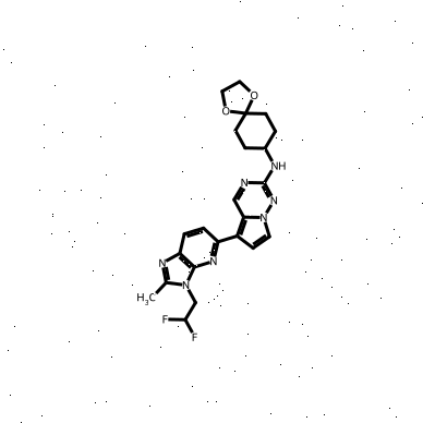 Cc1nc2ccc(-c3ccn4nc(NC5CCC6(CC5)OCCO6)ncc34)nc2n1CC(F)F